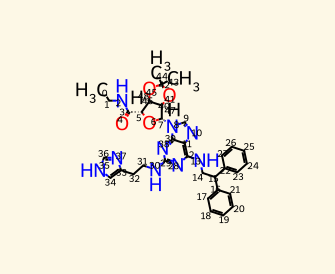 CCNC(=O)[C@H]1O[C@@H](n2cnc3c(NCC(c4ccccc4)c4ccccc4)nc(NCCc4c[nH]cn4)nc32)[C@@H]2OC(C)(C)O[C@@H]21